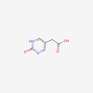 O=C(O)Cc1cnc(=O)[nH]c1